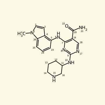 Cn1ccc2c(Nc3nc(NC4CCCNC4)ncc3C(N)=O)cccc21